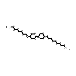 CCCCCCCCCC[C@H]1CC[C@H]([C@H]2CC[C@H](OCCCCCCCC)CC2)CC1